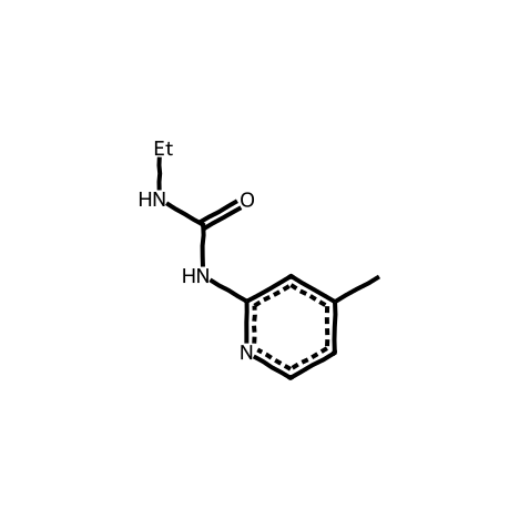 CCNC(=O)Nc1cc(C)ccn1